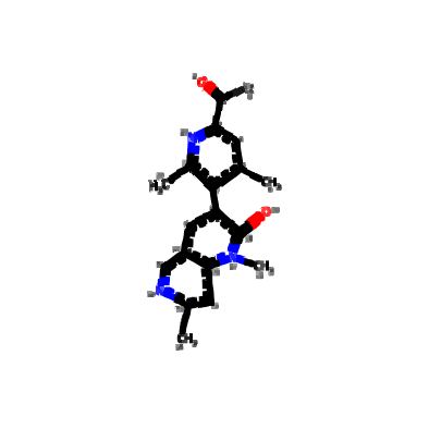 CCC(=O)c1cc(C)c(-c2cc3cnc(C)cc3n(C)c2=O)c(C)n1